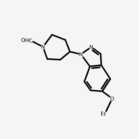 CCOc1ccc2c(cnn2C2CCN(C=O)CC2)c1